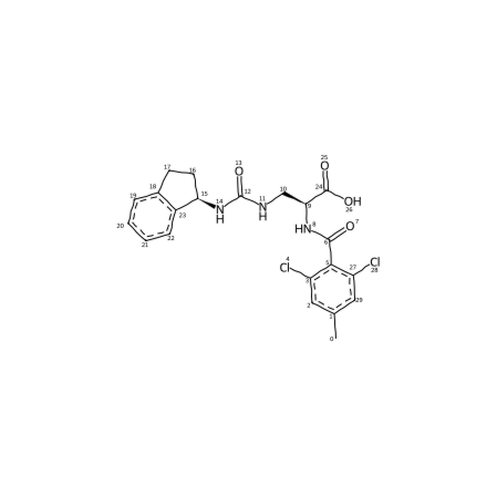 Cc1cc(Cl)c(C(=O)N[C@@H](CNC(=O)N[C@@H]2CCc3ccccc32)C(=O)O)c(Cl)c1